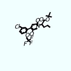 CCCC(C(=O)OC(C)(C)C)n1cc(OC)c(-c2cc(Cl)ccc2OCC(F)(F)F)cc1=O